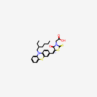 CCCCC(CC)CN1c2ccccc2Sc2cc(/C=C3/SC(=S)N(CC(=O)O)C3=O)ccc21